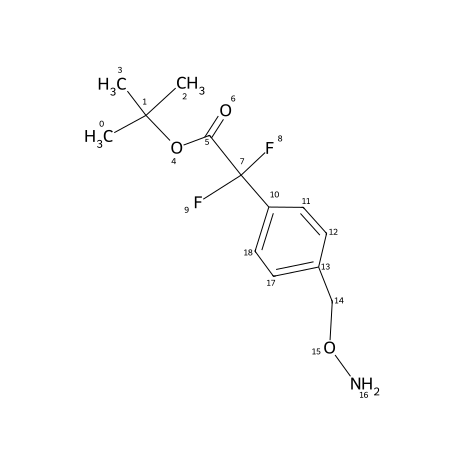 CC(C)(C)OC(=O)C(F)(F)c1ccc(CON)cc1